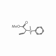 C=CC(C(=O)OC)[Si](C)(C)c1ccccc1